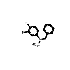 O=C(O)N(Cc1ccccc1)c1ccc(F)c(F)c1